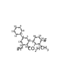 Cc1cc(-c2cc(-c3ccccc3)cc(C(C)C)c2C(=O)O)ccc1F